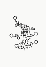 CC(C)(C)OC(=O)N[C@@H](C[C@@H](O)CNC(=O)OCc1ccccc1)C(=O)N[C@@H](Cc1cc(-c2ccc(OCc3ccccc3)c(C[C@H](NC(=O)OCc3ccccc3)C(=O)O)c2)ccc1OCc1ccccc1)C(=O)NCCC(=O)OCc1ccccc1